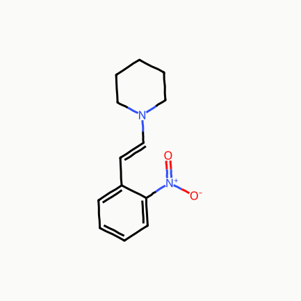 O=[N+]([O-])c1ccccc1C=CN1CCCCC1